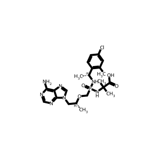 Cc1cc(Cl)ccc1[C@@H](C)NP(=O)(CO[C@H](C)Cn1cnc2c(N)ncnc21)NC(C)(C)C(=O)O